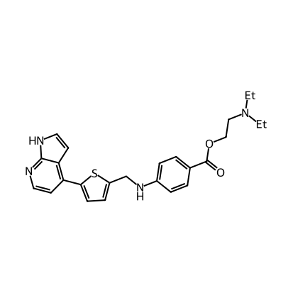 CCN(CC)CCOC(=O)c1ccc(NCc2ccc(-c3ccnc4[nH]ccc34)s2)cc1